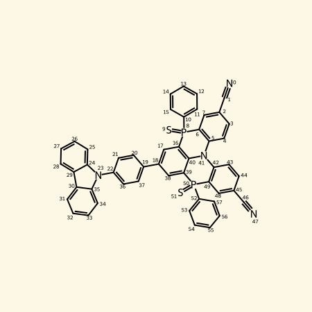 N#Cc1ccc2c(c1)P(=S)(c1ccccc1)c1cc(-c3ccc(-n4c5ccccc5c5ccccc54)cc3)cc3c1N2c1ccc(C#N)cc1P3(=S)c1ccccc1